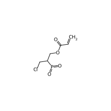 C=CC(=O)OCC(CCl)P(=O)=O